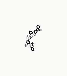 CS(=O)(=O)N(Cc1ccccc1)c1cc(C(=O)CN(CCOc2ccc3c(c2)[nH]c2ccccc23)C(=O)c2ccccc2)ccc1Br